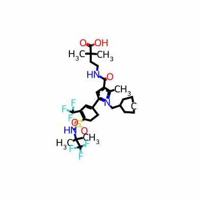 Cc1c(C(=O)NCCC(C)(C)C(=O)O)cc(C2=CC(C(F)(F)F)=C(S(=O)(=O)NC(C)(C)C(F)(F)F)CC2)n1CC1CCCCC1